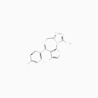 Cc1csc2c1C(c1ccc(Cl)cc1)=NCc1nnc(C)n1-2